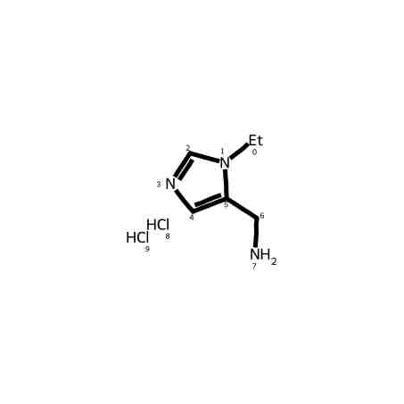 CCn1cncc1CN.Cl.Cl